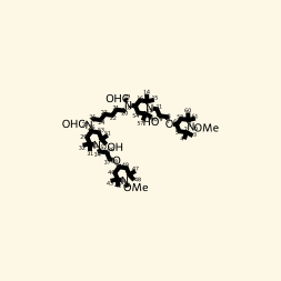 CON1C(C)(C)CC(OCC(O)CN2C(C)(C)CC(N(C=O)CCCCCCN(C=O)C3CC(C)(C)N(CC(O)COC4CC(C)(C)N(OC)C(C)(C)C4)C(C)(C)C3)CC2(C)C)CC1(C)C